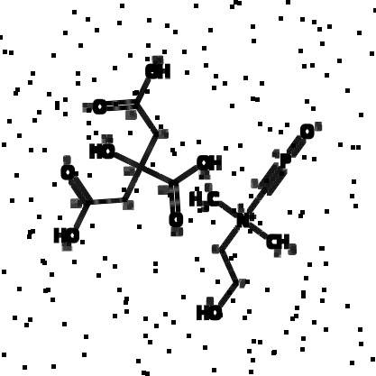 C[N+](C)(C#P=O)CCO.O=C(O)CC(O)(CC(=O)O)C(=O)O